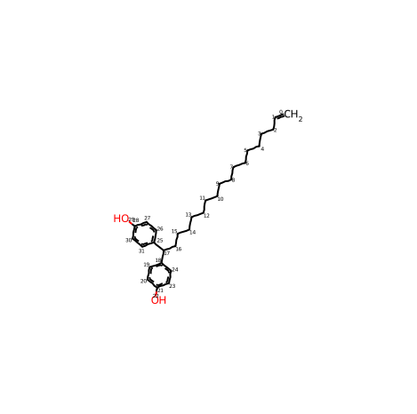 C=CCCCCCCCCCCCCCCCC(c1ccc(O)cc1)c1ccc(O)cc1